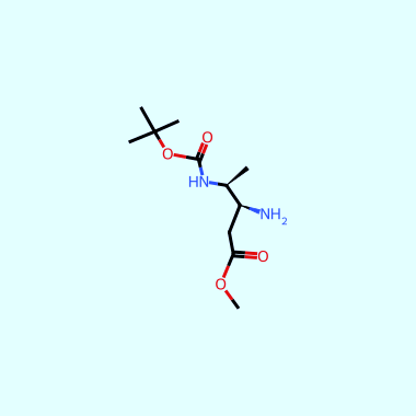 COC(=O)C[C@H](N)[C@H](C)NC(=O)OC(C)(C)C